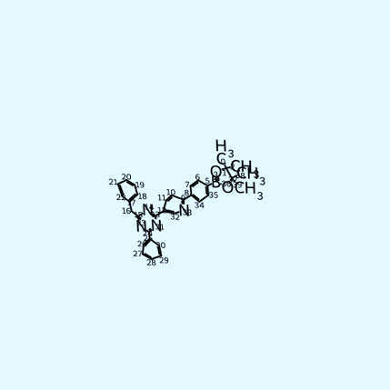 CC1(C)OB(c2ccc(-c3ccc(-c4nc(Cc5ccccc5)nc(-c5ccccc5)n4)cn3)cc2)OC1(C)C